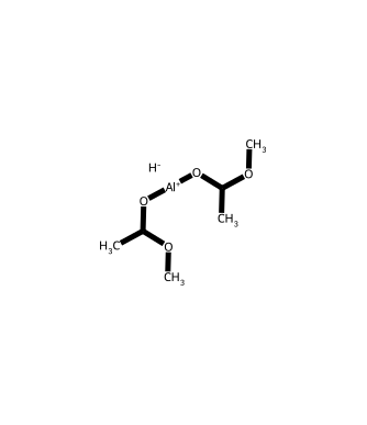 COC(C)[O][Al+][O]C(C)OC.[H-]